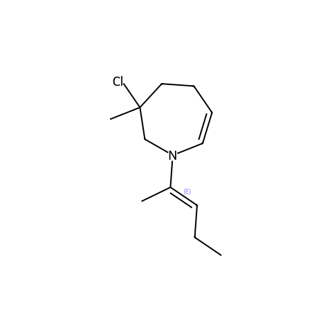 CC/C=C(\C)N1C=CCCC(C)(Cl)C1